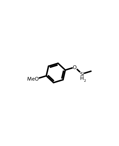 COc1ccc(O[SiH2]C)cc1